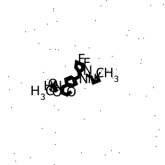 C[C@H]1CCN1c1nc(-c2ccc3c(c2)OCCC3NS(C)(=O)=O)c2c(n1)C(F)(F)CC2